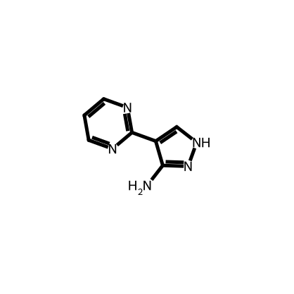 Nc1n[nH]cc1-c1ncccn1